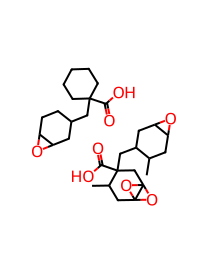 CC1CC2OC2CC1CC1(C(=O)O)CC23OC2(CC1C)O3.O=C(O)C1(CC2CCC3OC3C2)CCCCC1